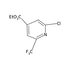 CCOC(=O)c1cc(Cl)nc(C(F)(F)F)c1